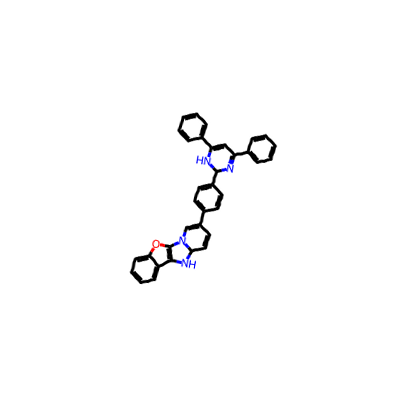 C1=CC2Nc3c(oc4ccccc34)N2C=C1c1ccc(C2N=C(c3ccccc3)C=C(c3ccccc3)N2)cc1